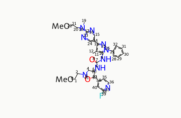 COCCN1C[C@@H](NC(=O)Nc2c(C)c(-c3cnc(N(C)CCOC)nc3)nn2-c2ccccc2)[C@H](c2ccnc(F)c2)O1